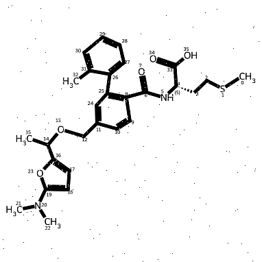 CSCC[C@H](NC(=O)c1ccc(COC(C)c2ccc(N(C)C)o2)cc1-c1ccccc1C)C(=O)O